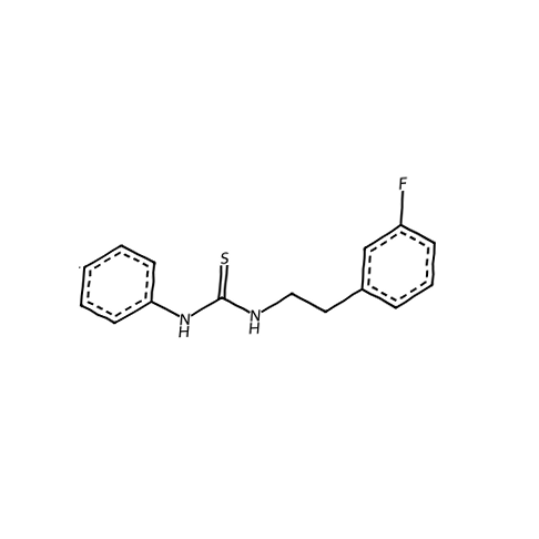 Fc1cccc(CCNC(=S)Nc2cc[c]cc2)c1